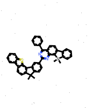 CC1(C)c2ccc(-c3nc(-c4ccccc4)c4ccc5c(c4n3)[Si](C)(C)c3ccccc3-5)cc2-c2c1ccc1c2sc2ccccc21